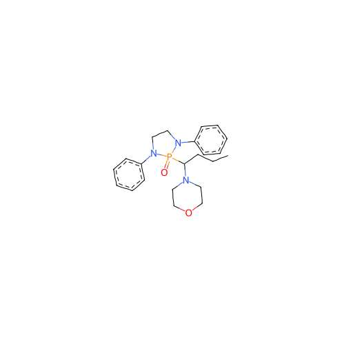 CCCC(N1CCOCC1)P1(=O)N(c2ccccc2)CCN1c1ccccc1